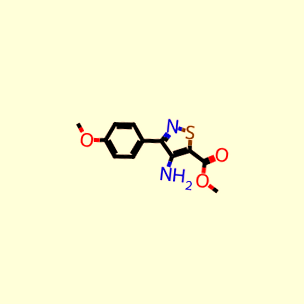 COC(=O)c1snc(-c2ccc(OC)cc2)c1N